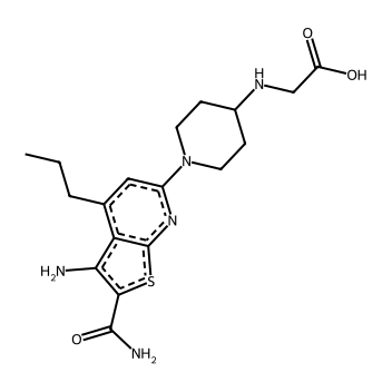 CCCc1cc(N2CCC(NCC(=O)O)CC2)nc2sc(C(N)=O)c(N)c12